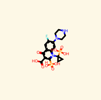 O=C(O)c1c(P(=O)(O)O)n(C2(P(=O)(O)O)CC2)c2cc(N3CCNCC3)c(F)cc2c1=O